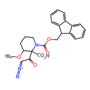 CC(C)(C)OC1CCCN(C(=O)OCC2c3ccccc3-c3ccccc32)C1(C(=O)O)C(=O)C=[N+]=[N-]